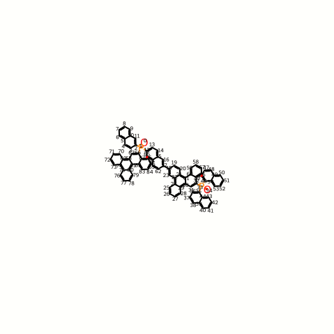 O=P(c1ccc2ccccc2c1)(c1ccc2cc(-c3ccc4c(c3)c3ccccc3c3cc(P(=O)(c5cccc6ccccc56)c5cccc6ccccc56)c5ccccc5c43)ccc2c1)c1cc2c3ccccc3c3ccccc3c2c2ccccc12